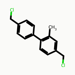 Cc1cc(CCl)ccc1-c1ccc(CCl)cc1